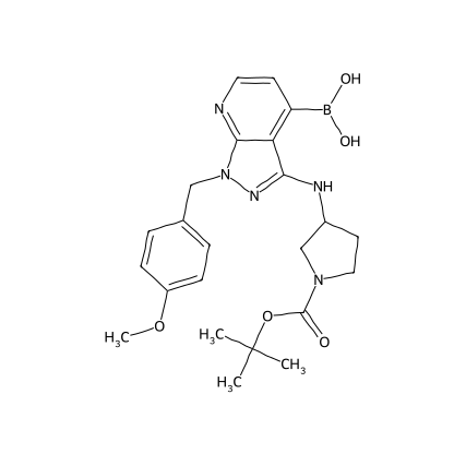 COc1ccc(Cn2nc(NC3CCN(C(=O)OC(C)(C)C)C3)c3c(B(O)O)ccnc32)cc1